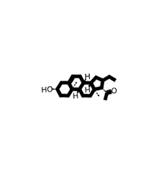 CCC1C[C@H]2[C@@H]3CC=C4C[C@@H](O)CC[C@]4(C)[C@H]3CC[C@]2(C)[C@H]1C(C)=O